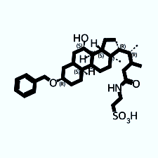 CC(CC(=O)NCCS(=O)(=O)O)[C@@H](C)[C@H]1CC[C@H]2[C@@H]3[C@@H](O)CC4C[C@H](OCc5ccccc5)CC[C@]4(C)[C@H]3CC[C@]12C